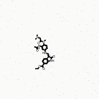 CCOC(=O)c1ccc2c(c1)NC(=O)/C2=C/Nc1ccc(N(C)C(=O)CN(C)C)c(NC(C)=O)c1